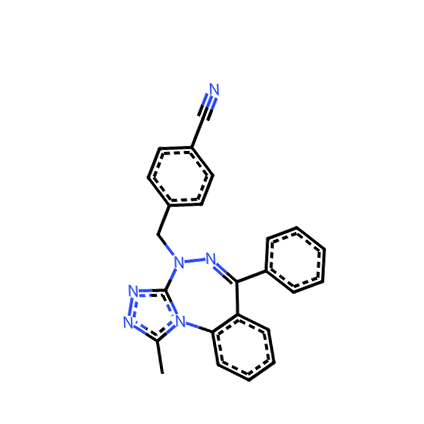 Cc1nnc2n1-c1ccccc1C(c1ccccc1)=NN2Cc1ccc(C#N)cc1